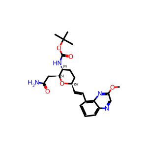 COc1cnc2cccc(C=C[C@@H]3CC[C@@H](NC(=O)OC(C)(C)C)[C@H](CC(N)=O)O3)c2n1